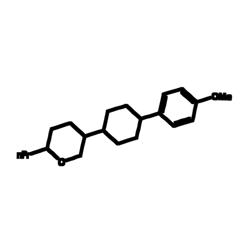 CCCC1CCC(C2CCC(c3ccc(OC)cc3)CC2)CO1